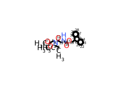 CCC(C)N(CC(OC)OC)C(=O)CNC(=O)OCC1c2ccccc2-c2ccccc21